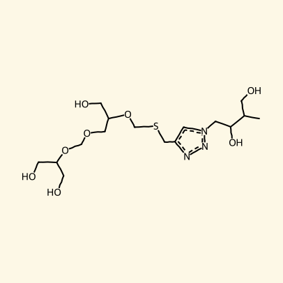 CC(CO)C(O)Cn1cc(CSCOC(CO)COCOC(CO)CO)nn1